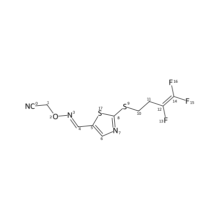 N#CCO/N=C/c1cnc(SCCC(F)=C(F)F)s1